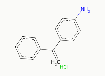 C=C(c1ccccc1)c1ccc(N)cc1.Cl